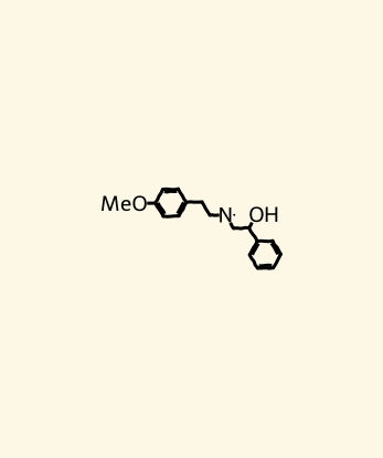 COc1ccc(CC[N]CC(O)c2ccccc2)cc1